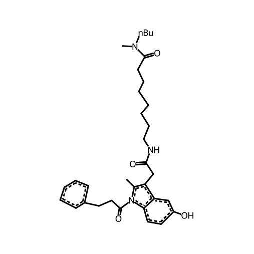 CCCCN(C)C(=O)CCCCCCCNC(=O)Cc1c(C)n(C(=O)CCc2ccccc2)c2ccc(O)cc12